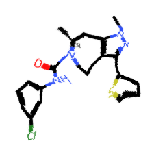 C[C@H]1Cc2c(c(-c3cccs3)nn2C)CN1C(=O)Nc1cccc(Cl)c1